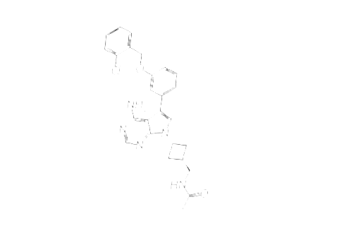 CC(=O)NC[C@H]1C[C@H](n2cc(-c3cccc(OCc4ccccc4Cl)c3)c3c(N)ncnc32)C1